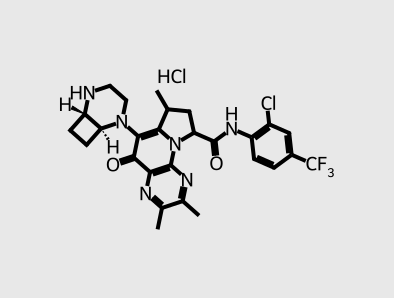 Cc1nc2c(=O)c(N3CCN[C@H]4CC[C@@H]43)c3n(c2nc1C)C(C(=O)Nc1ccc(C(F)(F)F)cc1Cl)CC3C.Cl